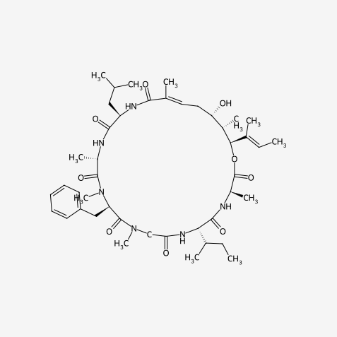 C/C=C(\C)[C@H]1OC(=O)[C@@H](C)NC(=O)[C@H](C(C)CC)NC(=O)CN(C)C(=O)[C@@H](Cc2ccccc2)N(C)C(=O)[C@H](C)NC(=O)[C@@H](CC(C)C)NC(=O)/C(C)=C/C[C@H](O)[C@@H]1C